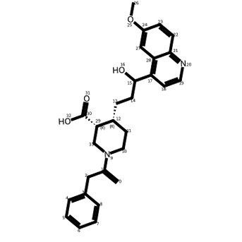 C=C(Cc1ccccc1)N1CC[C@@H](CCC(O)c2ccnc3ccc(OC)cc23)[C@@H](C(=O)O)C1